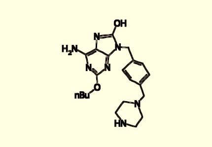 CCCCOc1nc(N)c2nc(O)n(Cc3ccc(CN4CCNCC4)cc3)c2n1